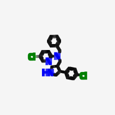 Clc1ccc(C2CNCC2CN(Cc2ccccc2)c2ccc(Cl)cn2)cc1